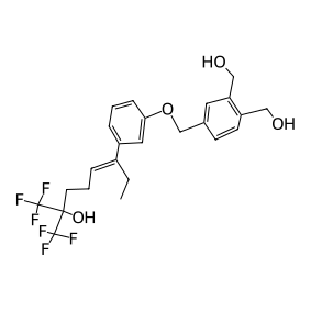 CC/C(=C\CCC(O)(C(F)(F)F)C(F)(F)F)c1cccc(OCc2ccc(CO)c(CO)c2)c1